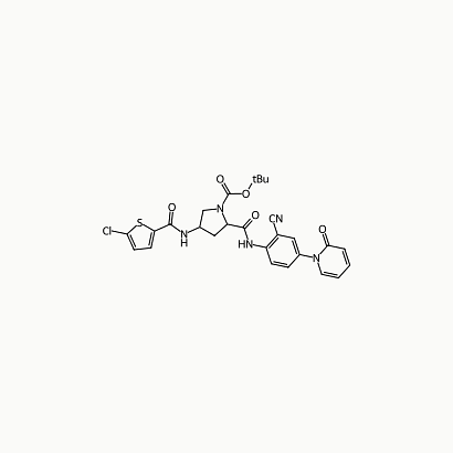 CC(C)(C)OC(=O)N1CC(NC(=O)c2ccc(Cl)s2)CC1C(=O)Nc1ccc(-n2ccccc2=O)cc1C#N